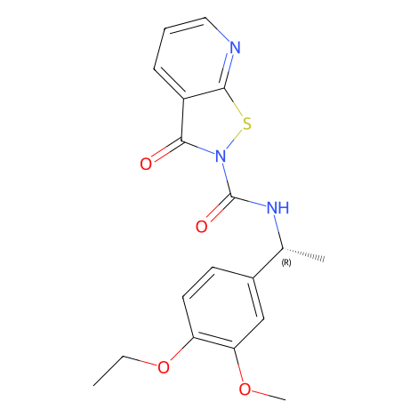 CCOc1ccc([C@@H](C)NC(=O)n2sc3ncccc3c2=O)cc1OC